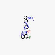 NC1CCCC12CCN(c1cnc(C(=O)Nc3cc(F)cc4cccnc34)cn1)CC2